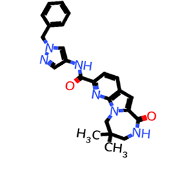 CC1(C)CNC(=O)c2cc3ccc(C(=O)Nc4cnn(Cc5ccccc5)c4)nc3n2C1